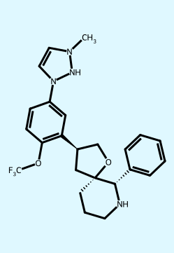 CN1C=CN(c2ccc(OC(F)(F)F)c([C@H]3CO[C@]4(CCCN[C@H]4c4ccccc4)C3)c2)N1